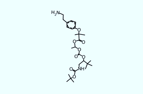 CC(OC(=O)OC(CNC(=O)OC(C)(C)C)C(C)(C)C)OC(=O)C(C)(C)Oc1ccc(CCN)cc1